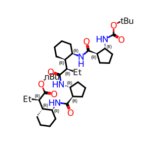 CCCCOC(=O)[C@H](CC)[C@H]1CCCC[C@H]1NC(=O)[C@@H]1CCC[C@H]1NC(=O)[C@H](CC)[C@H]1CCCC[C@H]1NC(=O)[C@@H]1CCC[C@H]1NC(=O)OC(C)(C)C